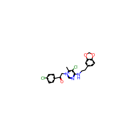 Cc1c(Cl)c(NCCc2ccc3c(c2)OCO3)nc[n+]1CC(=O)c1ccc(Cl)cc1